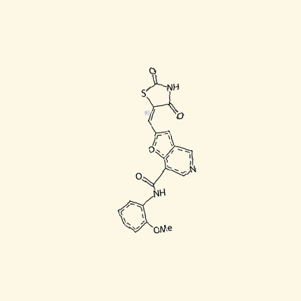 COc1ccccc1NC(=O)c1cncc2cc(/C=C3/SC(=O)NC3=O)oc12